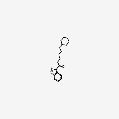 O=C(CCCCCN1CC[CH]CC1)c1noc2ccccc12